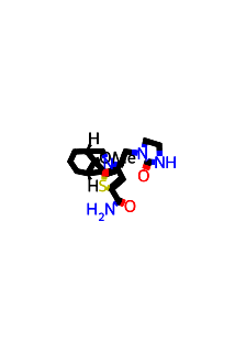 COC1(c2ccc(C(N)=O)s2)[C@@H]2CCC[C@H]1CN(CCN1CCNC1=O)C2